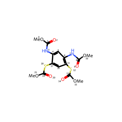 COC(=O)Nc1cc(NC(=O)OC)c(SC(=O)OC)cc1SC(=O)OC